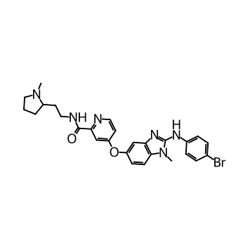 CN1CCCC1CCNC(=O)c1cc(Oc2ccc3c(c2)nc(Nc2ccc(Br)cc2)n3C)ccn1